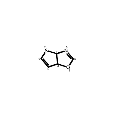 C1=CC2OC=NC2S1